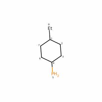 CCC1CCC(P)CC1